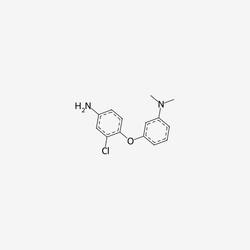 CN(C)c1cccc(Oc2ccc(N)cc2Cl)c1